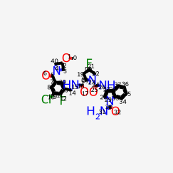 COC1CN(C(=O)c2cc(Cl)c(F)c(CNC(=O)[C@@H]3C[C@@H](F)CN3C(=O)Nc3cn(C(N)=O)c4ccccc34)c2)C1